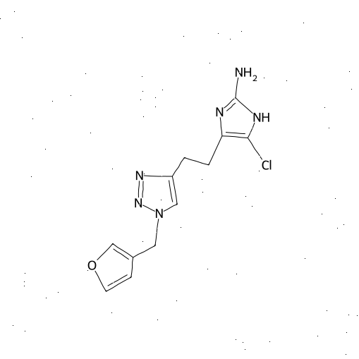 Nc1nc(CCc2cn(Cc3ccoc3)nn2)c(Cl)[nH]1